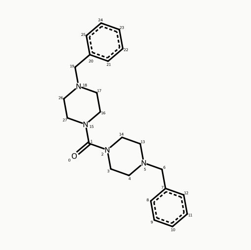 O=C(N1CCN(Cc2ccccc2)CC1)N1CCN(Cc2ccccc2)CC1